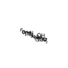 CN(CC(N)Cc1cc(F)ccc1F)CC(C)(C)CNC(=O)[C@@H](O)[C@H](N)CC1=CC=CCC1